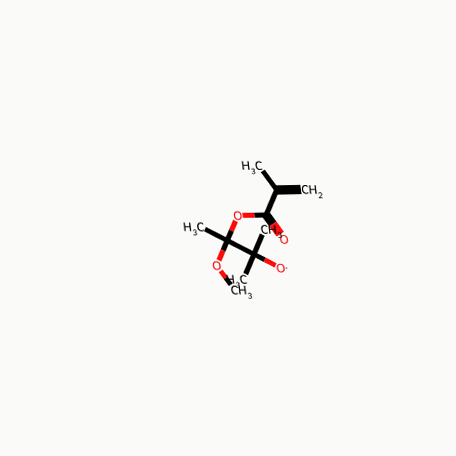 C=C(C)C(=O)OC(C)(OC)C(C)(C)[O]